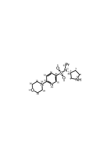 CC(C)N([C@@H]1CCNC1)S(=O)(=O)c1ccc(N2CCOCC2)nc1